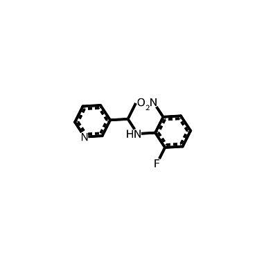 CC(Nc1c(F)cccc1[N+](=O)[O-])c1cccnc1